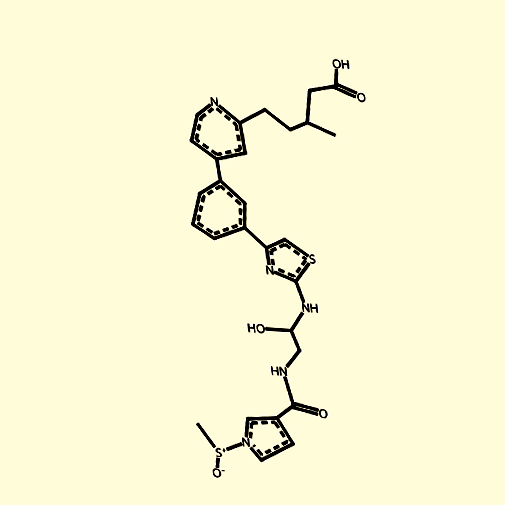 CC(CCc1cc(-c2cccc(-c3csc(NC(O)CNC(=O)c4ccn([S+](C)[O-])c4)n3)c2)ccn1)CC(=O)O